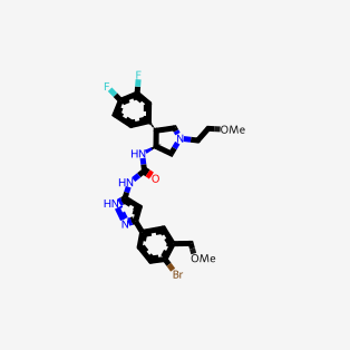 COCCN1C[C@@H](NC(=O)Nc2cc(-c3ccc(Br)c(COC)c3)n[nH]2)[C@H](c2ccc(F)c(F)c2)C1